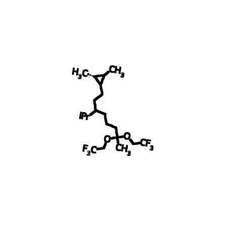 CC(C)C(CCCC(C)(OCC(F)(F)F)OCC(F)(F)F)CCC1C(C)[C@H]1C